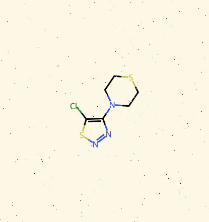 Clc1snnc1N1CCSCC1